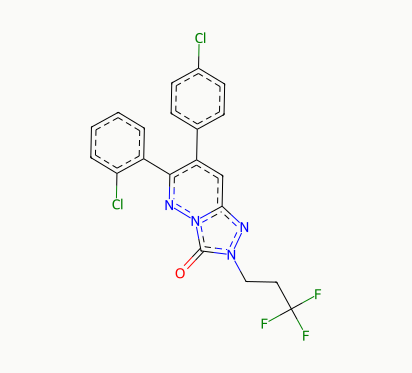 O=c1n(CCC(F)(F)F)nc2cc(-c3ccc(Cl)cc3)c(-c3ccccc3Cl)nn12